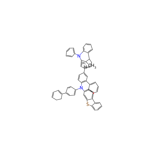 C[C@H]1C2=CC(c3ccc(N(c4ccc(C5=CC=CCC5)cc4)c4ccc5c(c4)sc4ccccc45)c(-c4ccccc4)c3)=CCC1c1ccccc1N2c1ccccc1